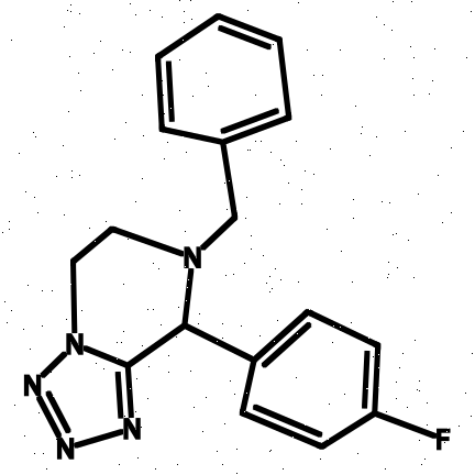 Fc1ccc(C2c3nnnn3CCN2Cc2ccccc2)cc1